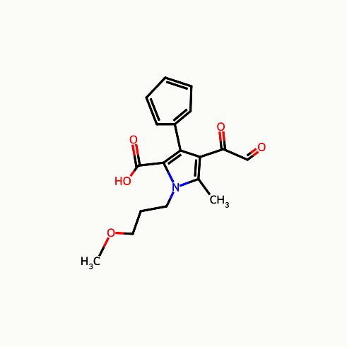 COCCCn1c(C)c(C(=O)C=O)c(-c2ccccc2)c1C(=O)O